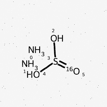 N.N.OS(O)=[16O]